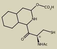 CC(=O)N[C@H](CS)C(=O)C1NC(OC(=O)O)CC2CCCCC21